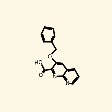 O=C(O)c1nc2ncccc2cc1OCc1ccccc1